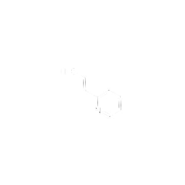 C[C]=Cc1cc[c]cn1